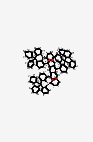 c1ccc(N2c3ccccc3C(c3ccccc3)(c3ccccc3)c3cccc(-c4cccc5c(-c6cccc7c6-c6ccccc6C76c7ccccc7-c7ccc8ccccc8c76)c6cccc(-c7cccc8c7N(c7ccccc7)c7ccccc7C8(c7ccccc7)c7ccccc7)c6cc45)c32)cc1